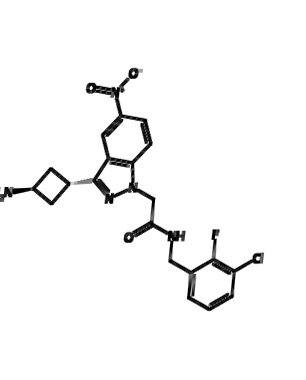 N[C@H]1C[C@H](c2nn(CC(=O)NCc3cccc(Cl)c3F)c3ccc([N+](=O)[O-])cc32)C1